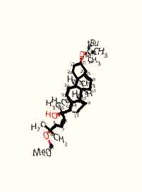 COCOC(C)(C)C/C=C\[C@](C)(O)[C@H]1CC[C@H]2[C@@H]3CC=C4CC(O[Si](C)(C)C(C)(C)C)CC[C@]4(C)[C@H]3CC[C@@]21C